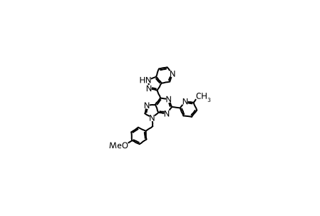 COc1ccc(Cn2cnc3c(-c4n[nH]c5ccncc45)nc(-c4cccc(C)n4)nc32)cc1